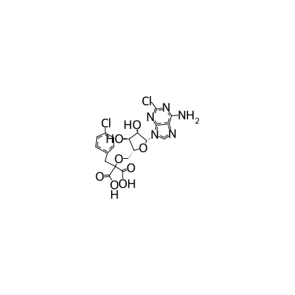 Nc1nc(Cl)nc2c1ncn2[C@@H]1O[C@H](COC(Cc2ccc(Cl)cc2)(C(=O)O)C(=O)O)[C@@H](O)[C@H]1O